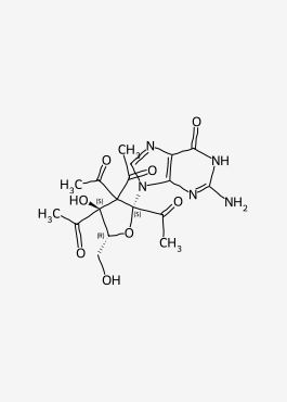 CC(=O)C1(C(C)=O)[C@@](O)(C(C)=O)[C@@H](CO)O[C@@]1(C(C)=O)n1cnc2c(=O)[nH]c(N)nc21